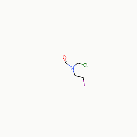 O=CN(CCl)CCI